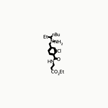 CCCCC(CC)N(N)Cc1ccc(C(=O)NCCC(=O)OCC)cc1.Cl